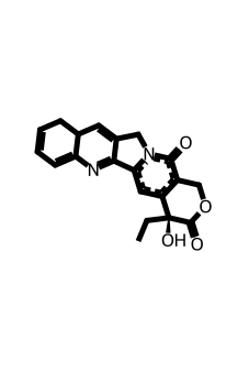 CC[C@@]1(O)C(=O)OCc2c1cc1n(c2=O)CC2=CC3CC=CC=C3N=C21